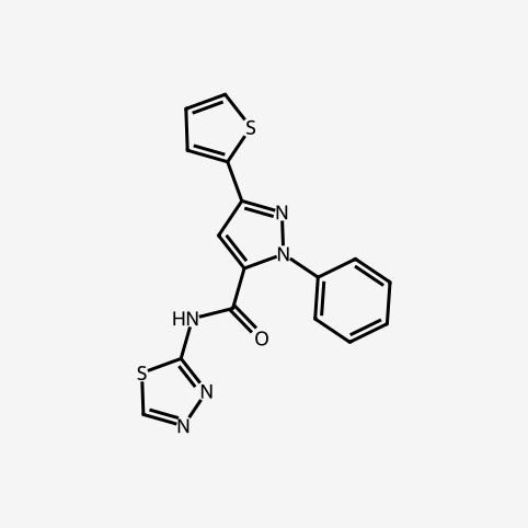 O=C(Nc1nncs1)c1cc(-c2cccs2)nn1-c1ccccc1